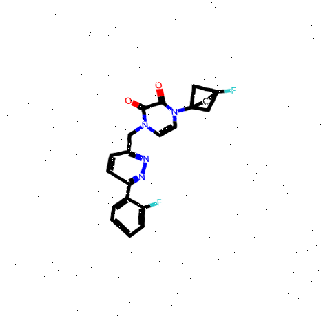 O=c1c(=O)n(C23CC(F)(C2)C3)ccn1Cc1ccc(-c2ccccc2F)nn1